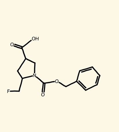 O=C(O)C1CC(CF)N(C(=O)OCc2ccccc2)C1